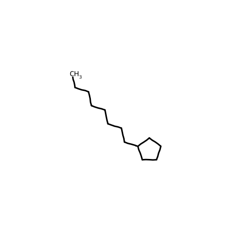 CCCCCCCC[C]1CCCC1